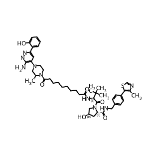 Cc1ncsc1-c1ccc(CNC(=O)[C@@H]2C[C@@H](O)CN2C(=O)[C@@H](NC(=O)CCCCCCCCC(=O)N2CCN(c3cc(-c4ccccc4O)nnc3N)CC2C)C(C)(C)C)cc1